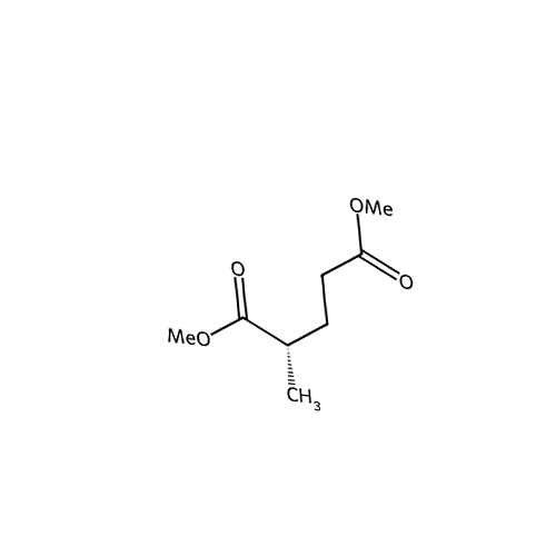 COC(=O)CC[C@H](C)C(=O)OC